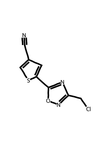 N#Cc1csc(-c2nc(CCl)no2)c1